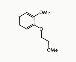 COCCOC1=CC[CH]C=C1OC